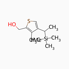 COc1c(C(C)[Si](C)(C)C)csc1CO